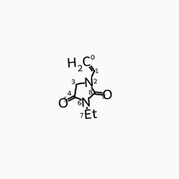 C=CN1CC(=O)N(CC)C1=O